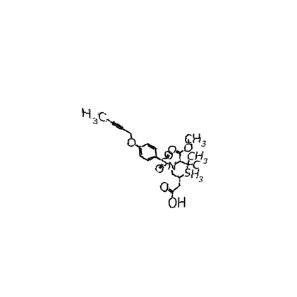 CC#CCOc1ccc(S(=O)(=O)N2C[C@H](CC(=O)O)SC(C)(C)[C@@H]2C(=O)OC)cc1